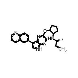 C=CC(=O)NC1CCCC1Oc1cnc2[nH]cc(-c3ccc4ncccc4c3)c2n1